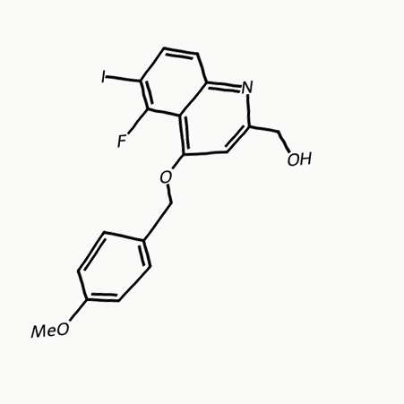 COc1ccc(COc2cc(CO)nc3ccc(I)c(F)c23)cc1